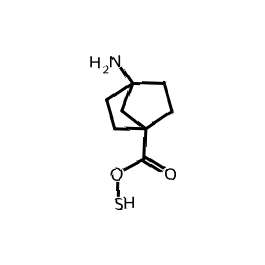 NC12CCC(C(=O)OS)(CC1)C2